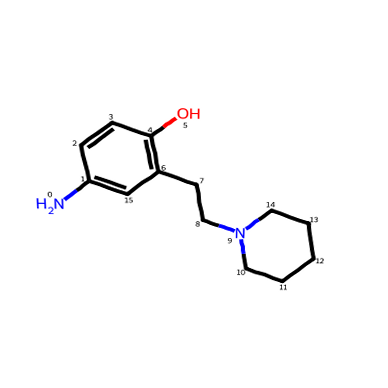 Nc1ccc(O)c(CCN2CCCCC2)c1